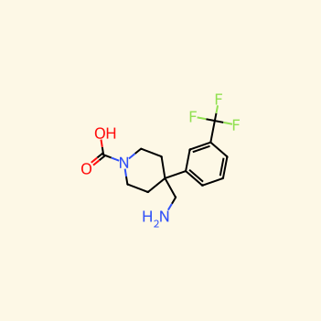 NCC1(c2cccc(C(F)(F)F)c2)CCN(C(=O)O)CC1